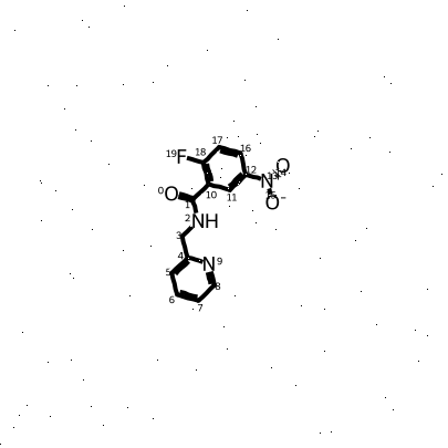 O=C(NCc1ccccn1)c1cc([N+](=O)[O-])ccc1F